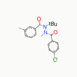 Cc1cccc(C(=O)N(N(C)C(=O)c2ccc(Cl)cc2)C(C)(C)C)c1